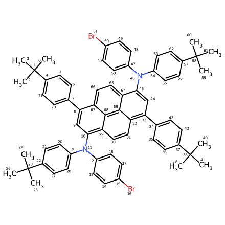 CC(C)(C)c1ccc(-c2cc(N(c3ccc(Br)cc3)c3ccc(C(C)(C)C)cc3)c3ccc4c(-c5ccc(C(C)(C)C)cc5)cc(N(c5ccc(Br)cc5)c5ccc(C(C)(C)C)cc5)c5ccc2c3c45)cc1